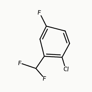 Fc1ccc(Cl)c(C(F)F)c1